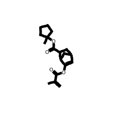 C=C(C)C(=O)OC1=CC2CC(C(=O)OC3(C)CCCC3)C1C2